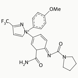 COc1ccc([N+]2(C3=CC(C(N)=O)C(=NC(=O)N4CCCC4)C=C3)C=CC(C(F)(F)F)=N2)cc1